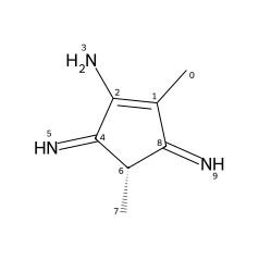 CC1=C(N)C(=N)[C@@H](C)C1=N